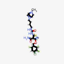 CN1CC2CC1CN2CCCCNC(=O)Nc1snc(OCc2c(F)cc(Cl)c(F)c2F)c1C(N)=O